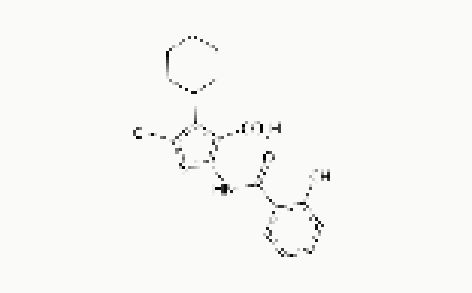 Cc1ccccc1C(=O)Nc1sc(Cl)c(C2CCCCC2)c1C(=O)O